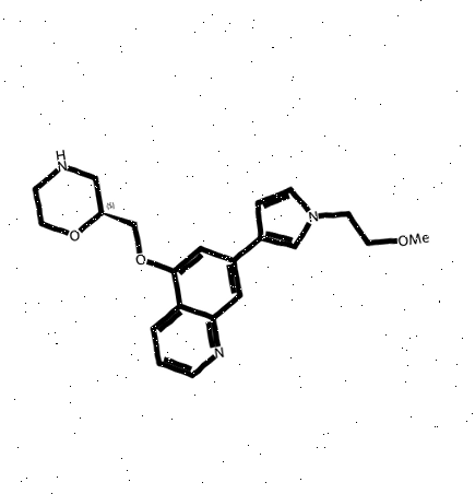 COCCn1ccc(-c2cc(OC[C@@H]3CNCCO3)c3cccnc3c2)c1